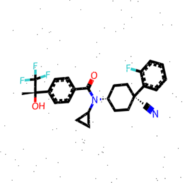 C[C@](O)(c1ccc(C(=O)N(C2CC2)[C@H]2CC[C@](C#N)(c3ccccc3F)CC2)cc1)C(F)(F)F